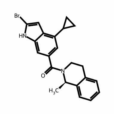 C[C@@H]1c2ccccc2CCN1C(=O)c1cc(C2CC2)c2cc(Br)[nH]c2c1